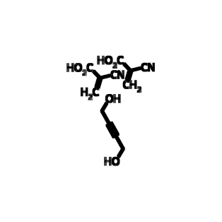 C=C(C#N)C(=O)O.C=C(C#N)C(=O)O.OCC#CCO